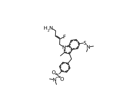 Cc1c(Cc2ccc(S(=O)(=O)N(C)C)cc2)c2cc(SN(C)C)ccc2n1C/C(F)=C/CN